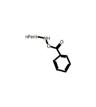 CCCCCNOC(=O)c1ccccc1